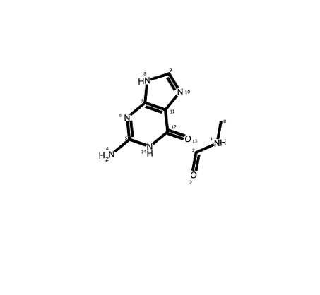 CNC=O.Nc1nc2[nH]cnc2c(=O)[nH]1